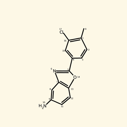 Cc1ccc(-c2nc3cc(N)ccc3o2)cc1Cl